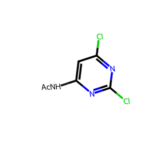 CC(=O)Nc1cc(Cl)nc(Cl)n1